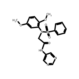 COc1ccc(OC)c(N(CC(=O)Nc2cncnc2)S(=O)(=O)c2ccccc2)c1